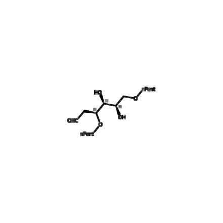 CCCCCOC[C@@H](O)[C@H](O)[C@H](CC=O)OCCCCC